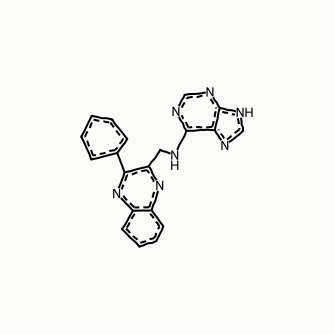 c1ccc(-c2nc3ccccc3nc2CNc2ncnc3[nH]cnc23)cc1